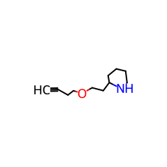 C#CCCOCCC1CCCCN1